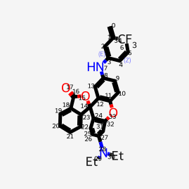 C=C(/C=C(\C=C/C)Nc1ccc2c(c1)C1(OC(=O)c3ccccc31)c1ccc(N(CC)CC)cc1O2)C(F)(F)F